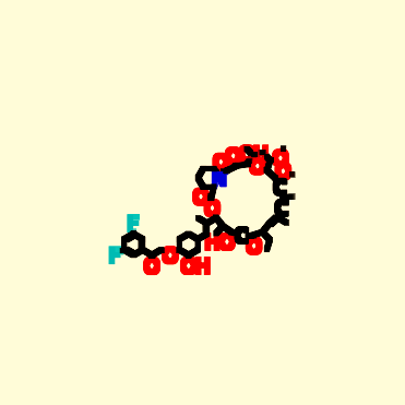 CCC1/C=C(\C)CC(C)CC(OC)C2OC(O)(C(=O)C(=O)N3CCCCC3C(=O)OC(C(C)=CC3CCC(OCC(=O)c4cc(F)cc(F)c4)C(O)C3)C(C)C(O)CC1=O)C(C)CC2OC